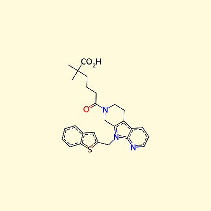 CC(C)(CCCC(=O)N1CCc2c(n(Cc3cc4ccccc4s3)c3ncccc23)C1)C(=O)O